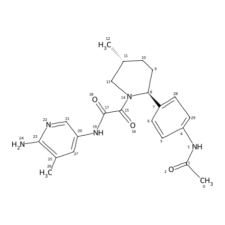 CC(=O)Nc1ccc([C@@H]2CC[C@@H](C)CN2C(=O)C(=O)Nc2cnc(N)c(C)c2)cc1